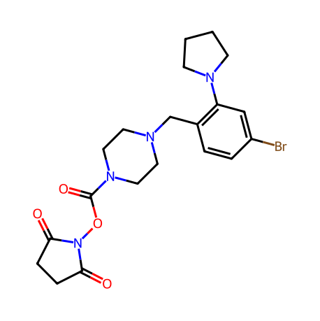 O=C(ON1C(=O)CCC1=O)N1CCN(Cc2ccc(Br)cc2N2CCCC2)CC1